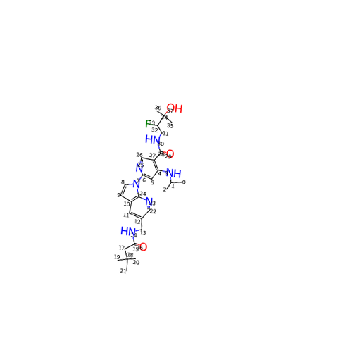 CC(C)Nc1cc(-n2ccc3cc(CNC(=O)CC(C)(C)C)cnc32)ncc1C(=O)NCC(F)C(C)(C)O